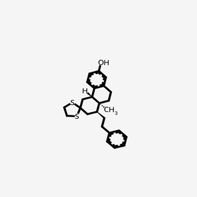 C[C@@]12CCc3cc(O)ccc3[C@H]1CC1(C[C@@H]2CCc2ccccc2)SCCS1